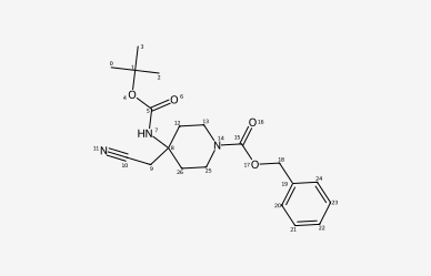 CC(C)(C)OC(=O)NC1(CC#N)CCN(C(=O)OCc2ccccc2)CC1